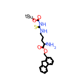 CC(C)(C)OC(=O)NC(=S)NCCCC(N)C(=O)OCc1cccc2c1Cc1ccccc1-2